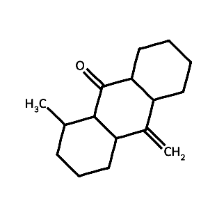 C=C1C2CCCCC2C(=O)C2C(C)CCCC12